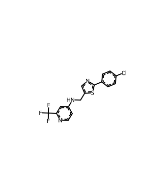 FC(F)(F)c1cc(NCc2cnc(-c3ccc(Cl)cc3)s2)ccn1